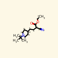 CCOC(=O)C(C#N)CCC1CCN(C(C)(C)C)CC1